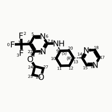 FC(F)(F)c1cnc(N[C@H]2CCC[C@@H](c3cnccn3)C2)nc1OC1COC1